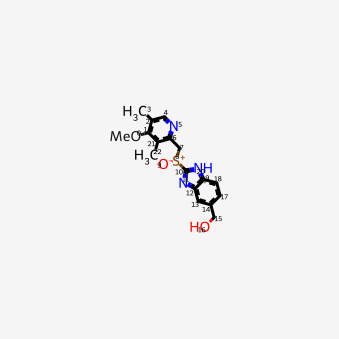 COc1c(C)cnc(C[S+]([O-])c2nc3cc(CO)ccc3[nH]2)c1C